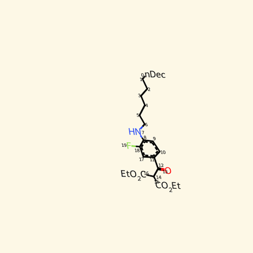 CCCCCCCCCCCCCCCCNc1ccc(C(=O)C(C(=O)OCC)C(=O)OCC)cc1F